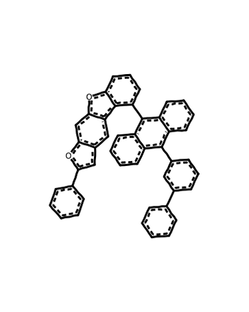 c1ccc(-c2cccc(-c3c4ccccc4c(-c4cccc5oc6cc7oc(-c8ccccc8)cc7cc6c45)c4ccccc34)c2)cc1